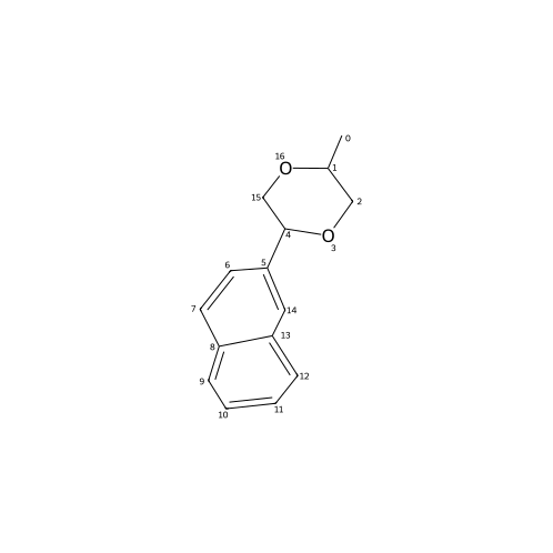 CC1COC(c2ccc3ccccc3c2)CO1